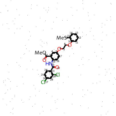 COC(=O)c1cc(OCCOc2ccccc2SC)ccc1NC(=O)c1ccc(Cl)cc1Cl